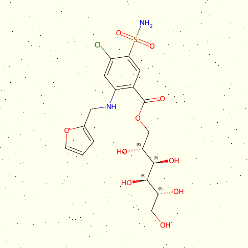 NS(=O)(=O)c1cc(C(=O)OC[C@@H](O)[C@@H](O)[C@H](O)[C@H](O)CO)c(NCc2ccco2)cc1Cl